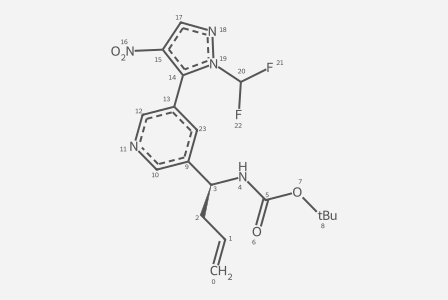 C=CC[C@H](NC(=O)OC(C)(C)C)c1cncc(-c2c([N+](=O)[O-])cnn2C(F)F)c1